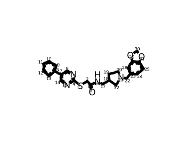 O=C(CSc1ncc(-c2ccccc2)cn1)NCC1CCN(Cc2ccc3c(c2)OCO3)C1